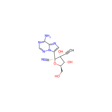 C#C[C@@]1(O)[C@H](O)[C@@H](CO)O[C@@]1(C#N)c1cnc2c(N)ncnn12